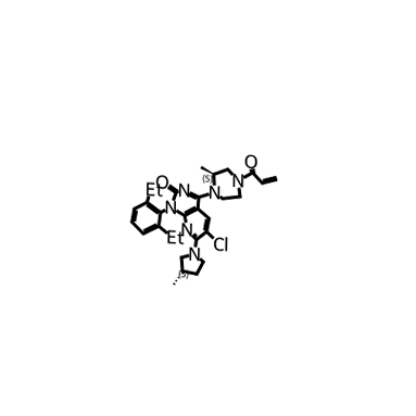 C=CC(=O)N1CCN(c2nc(=O)n(-c3c(CC)cccc3CC)c3nc(N4CC[C@H](C)C4)c(Cl)cc23)[C@@H](C)C1